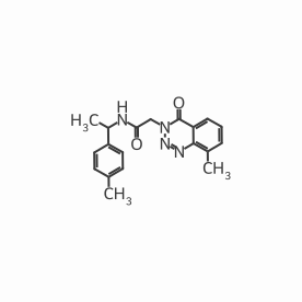 Cc1ccc(C(C)NC(=O)Cn2nnc3c(C)cccc3c2=O)cc1